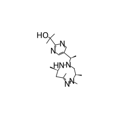 C/C1=N\N(C)[C@H](C)CN([C@H](C)c2cnc(C(C)(C)O)nc2)N[C@H](C)C1